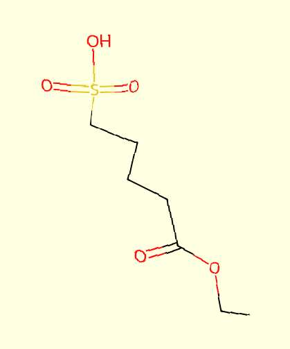 CCOC(=O)CCCCS(=O)(=O)O